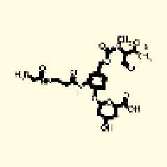 CC(C)C(C=O)N(C)C(=O)OCc1ccc(OC2CC(O)CC(C(=O)O)O2)c(NC(=O)CCNC(=O)CN)c1